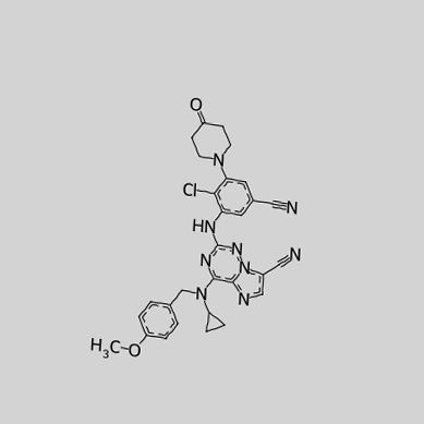 COc1ccc(CN(c2nc(Nc3cc(C#N)cc(N4CCC(=O)CC4)c3Cl)nn3c(C#N)cnc23)C2CC2)cc1